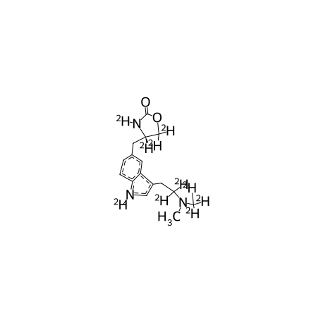 [2H]N1C(=O)OC([2H])([2H])[C@]1([2H])Cc1ccc2c(c1)c(CC([2H])([2H])N(C)C([2H])([2H])[2H])cn2[2H]